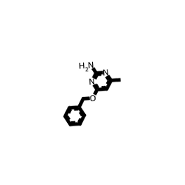 Cc1cc(OCc2ccccc2)nc(N)n1